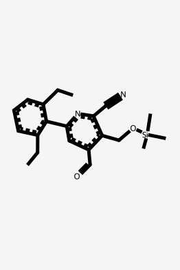 CCc1cccc(CC)c1-c1cc(C=O)c(CO[Si](C)(C)C)c(C#N)n1